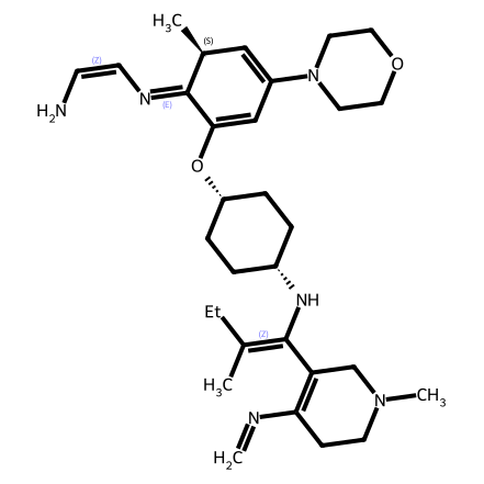 C=NC1=C(/C(N[C@H]2CC[C@@H](OC3=CC(N4CCOCC4)=C[C@H](C)/C3=N\C=C/N)CC2)=C(\C)CC)CN(C)CC1